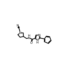 N#CN1CCC(CNC(=O)c2cnc(-c3ccccc3)[nH]2)C1